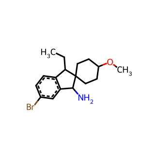 CCC1c2ccc(Br)cc2C(N)C12CCC(OC)CC2